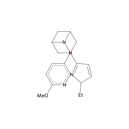 CCC1C=CC(N2CC3CC(C2)N3Cc2ccc(OC)nc2)=N1